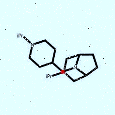 CC(C)N1CCC(CN2C3CCC2CN(C(C)C)C3)CC1